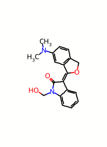 CN(C)c1ccc2c(c1)/C(=C1\C(=O)N(CO)c3ccccc31)OC2